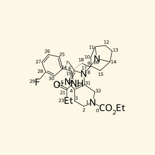 CCOC(=O)N1CCc2nc(C)n(C3CC4CCC(C3)N4CC[C@H](NC(=O)CC)c3cccc(F)c3)c2C1